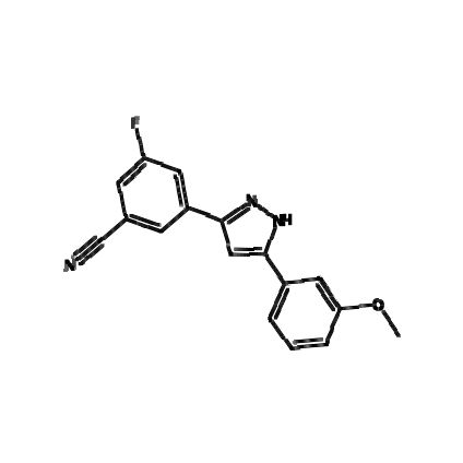 COc1cccc(-c2cc(-c3cc(F)cc(C#N)c3)n[nH]2)c1